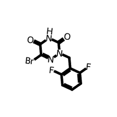 O=c1[nH]c(=O)n(Cc2c(F)cccc2F)nc1Br